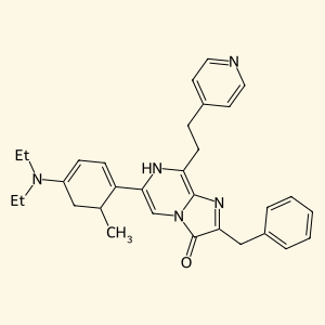 CCN(CC)C1=CC=C(c2cn3c(=O)c(Cc4ccccc4)nc-3c(CCc3ccncc3)[nH]2)C(C)C1